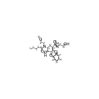 CCCCC(=O)N(CCOC)[C@@H]1CC(C(=O)NCCO)=C[C@H](Oc2ccccc2Cl)C1O